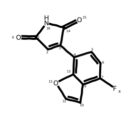 O=C1C=C(c2ccc(F)c3ccoc23)C(=O)N1